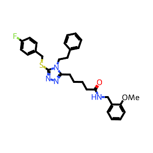 COc1ccccc1CNC(=O)CCCCc1nnc(SCc2ccc(F)cc2)n1CCc1ccccc1